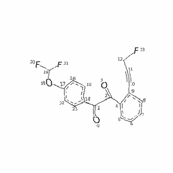 O=C(C(=O)c1ccccc1C#CCF)c1ccc(OC(F)F)cc1